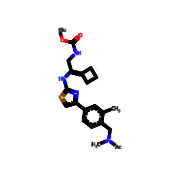 CC(=O)N(C)Cc1ccc(-c2csc(NC(CNC(=O)OC(C)(C)C)=C3CCC3)n2)cc1C